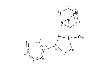 [O-][N+]1(C2CN3CCC2CC3)CCN(c2ccccc2)C1